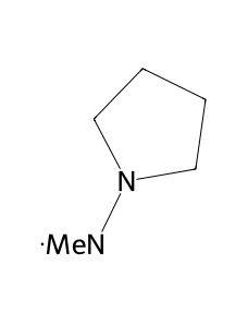 C[N]N1CCCC1